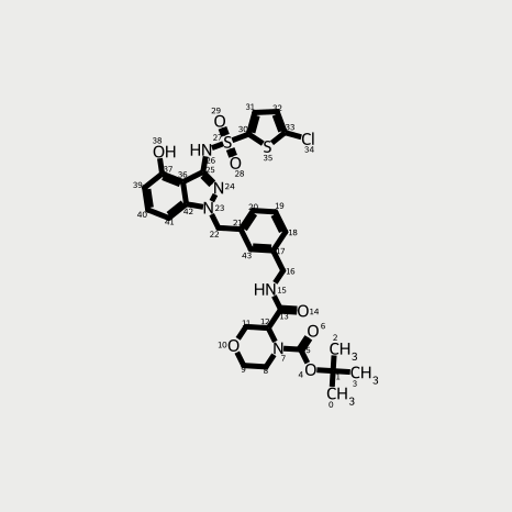 CC(C)(C)OC(=O)N1CCOCC1C(=O)NCc1cccc(Cn2nc(NS(=O)(=O)c3ccc(Cl)s3)c3c(O)cccc32)c1